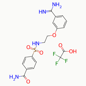 N=C(N)c1cccc(OCCNS(=O)(=O)c2ccc(C(N)=O)cc2)c1.O=C(O)C(F)(F)F